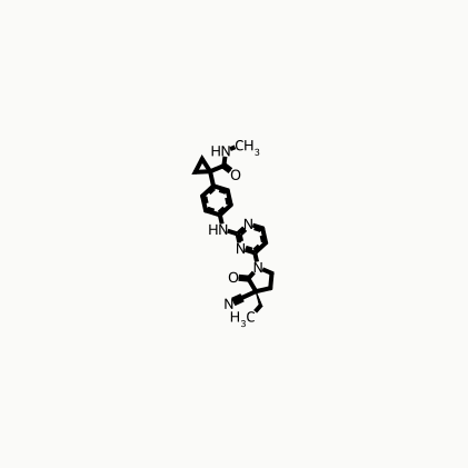 CC[C@]1(C#N)CCN(c2ccnc(Nc3ccc(C4(C(=O)NC)CC4)cc3)n2)C1=O